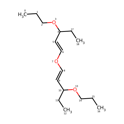 CCCOC(C=COC=CC(CC)OCCC)CC